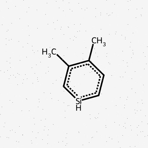 Cc1cc[siH]cc1C